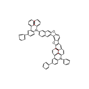 c1ccc(-c2ccc(N(c3ccccc3)c3ccc4cc5c(cc4c3)oc3c5ccc4oc5cc6cc(N(c7ccccc7)c7ccc(-c8ccccc8)cc7-c7ccccc7)ccc6cc5c43)c(-c3ccccc3)c2)cc1